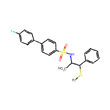 CCSC(c1ccccc1)C(NS(=O)(=O)c1ccc(-c2ccc(F)cc2)cc1)C(=O)O